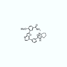 COc1ccc(C(N)=O)cc1-c1cc2nccc(-c3cccc(C(=O)NC4CCCCC4N)c3)c2o1